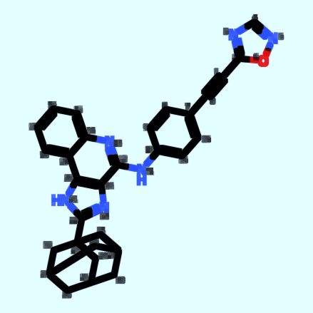 C(#Cc1ncno1)c1ccc(Nc2nc3ccccc3c3[nH]c(C45CC6CC(CC(C6)C4)C5)nc23)cc1